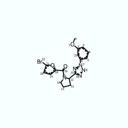 COc1cccc(-n2nnc(C3CCCN3C(=O)c3ccc(Br)o3)n2)c1